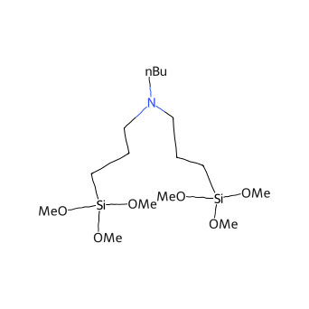 CCCCN(CCC[Si](OC)(OC)OC)CCC[Si](OC)(OC)OC